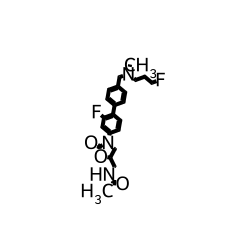 CC(=O)NCC1CN(c2ccc(-c3ccc(CN(C)CCCF)cc3)c(F)c2)C(=O)O1